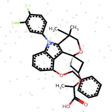 CC(O[C@H]1C[C@@]2(C1)OCC(C)(C)c1c2c2c(OCc3ccccc3)cccc2n1-c1ccc(F)c(F)c1)C(=O)O